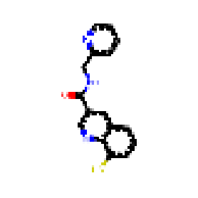 O=C(NCc1ccccn1)c1cnc2c(S)cccc2c1